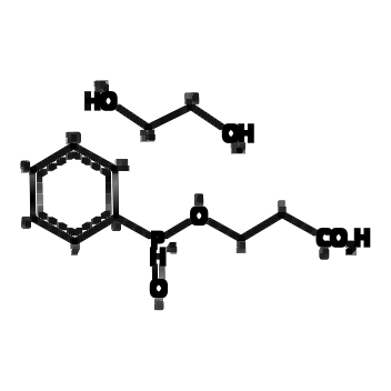 O=C(O)CCO[PH](=O)c1ccccc1.OCCO